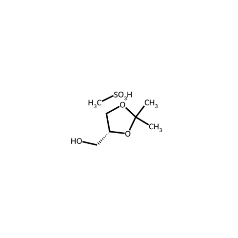 CC1(C)OC[C@@H](CO)O1.CS(=O)(=O)O